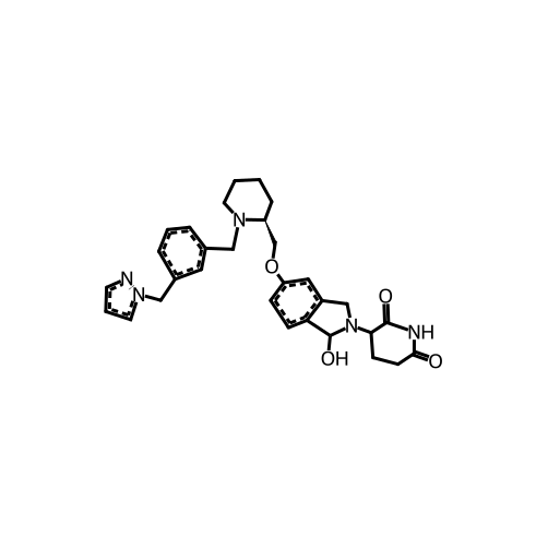 O=C1CCC(N2Cc3cc(OC[C@@H]4CCCCN4Cc4cccc(Cn5cccn5)c4)ccc3C2O)C(=O)N1